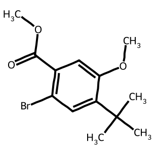 COC(=O)c1cc(OC)c(C(C)(C)C)cc1Br